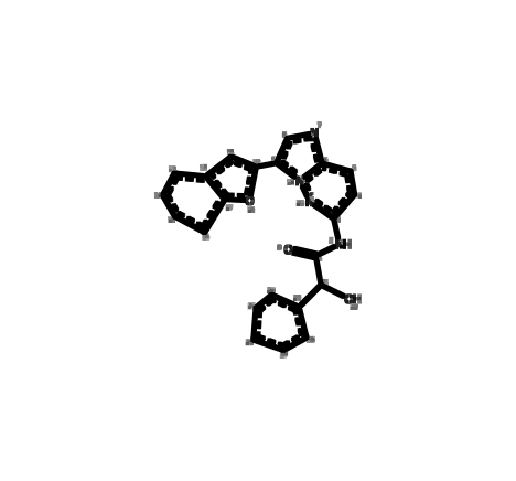 O=C(Nc1ccc2ncc(-c3cc4ccccc4o3)n2n1)C(O)c1ccccc1